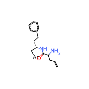 C=CCC(N)C(=O)N[C@@H](CCc1ccccc1)CC(C)=O